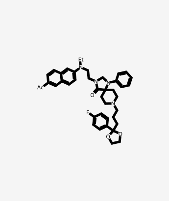 CCN(CCN1CN(c2ccccc2)C2(CCN(CCCC3(c4ccc(F)cc4)OCCO3)CC2)C1=O)c1ccc2cc(C(C)=O)ccc2c1